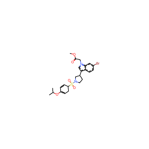 COC(=O)Cn1cc(C2CCN(S(=O)(=O)C3C=CC(OC(C)C)=CC3)C2)c2ccc(Br)cc21